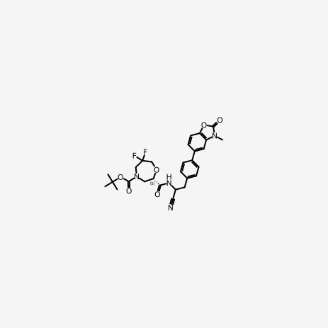 Cn1c(=O)oc2ccc(-c3ccc(CC(C#N)NC(=O)[C@@H]4CN(C(=O)OC(C)(C)C)CC(F)(F)CO4)cc3)cc21